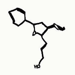 C=C=C1CC(C2C=CC=CC2)OC1CCCO